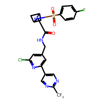 O=C(NCc1cc(Cl)nc(-c2cnc(C(F)(F)F)nc2)c1)C1C2CC(C2)N1S(=O)(=O)c1ccc(F)cc1